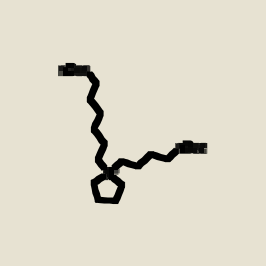 CCCCCCCCCCCCCCCC[N+]1(CCCCCCCCCCCCCC)CCCC1